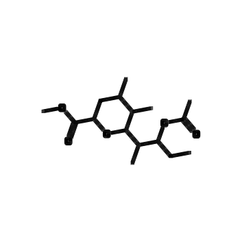 CCC(OC(C)=O)C(C)C1OC(C(=O)OC)CC(C)C1C